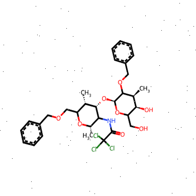 C[C@@H]1OC(COCc2ccccc2)[C@H](C)[C@H](O[C@@H]2OC(CO)[C@H](O)[C@H](C)C2OCc2ccccc2)C1NC(=O)C(Cl)(Cl)Cl